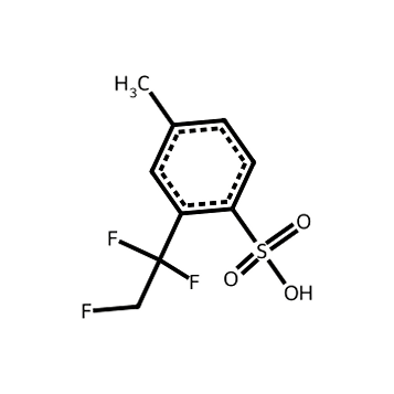 Cc1ccc(S(=O)(=O)O)c(C(F)(F)CF)c1